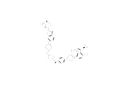 N#Cc1c[nH]c2c(N3CCC(c4ccc(C(=O)N5CCC(CN6CCN(c7ccc8c(c7)CN(C7CCC(=O)NC7=O)C8=O)CC6)CC5)cc4)CC3)ccc(Cl)c12